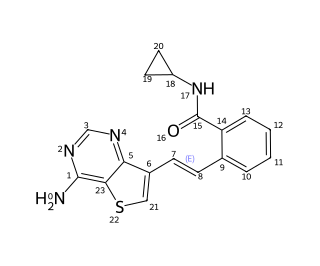 Nc1ncnc2c(/C=C/c3ccccc3C(=O)NC3CC3)csc12